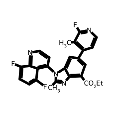 CCOC(=O)c1cc(-c2ccnc(F)c2C)cc2c1nc(C)n2-c1ccnc2c(F)ccc(F)c12